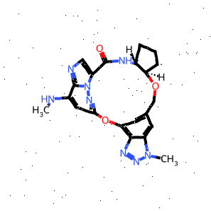 CNc1cc2nn3c(cnc13)C(=O)N[C@@H]1CCC[C@H]1OCc1cc(c3nnn(C)c3c1)O2